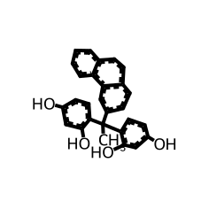 CC(c1ccc2ccc3ccccc3c2c1)(c1ccc(O)cc1O)c1ccc(O)cc1O